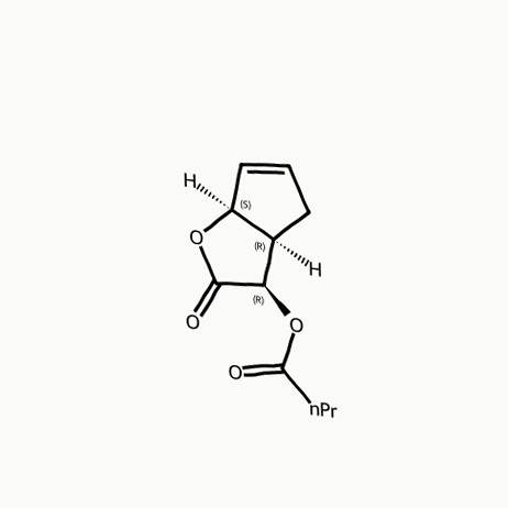 CCCC(=O)O[C@H]1C(=O)O[C@H]2C=CC[C@H]21